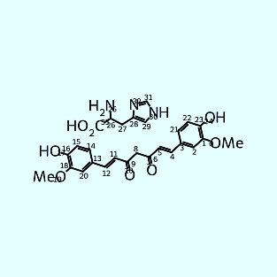 COc1cc(/C=C/C(=O)CC(=O)/C=C/c2ccc(O)c(OC)c2)ccc1O.NC(Cc1c[nH]cn1)C(=O)O